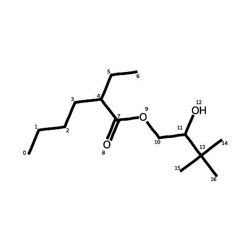 CCCCC(CC)C(=O)OCC(O)C(C)(C)C